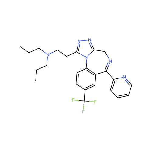 CCCN(CCC)CCc1nnc2n1-c1ccc(C(F)(F)F)cc1C(c1ccccn1)=NC2